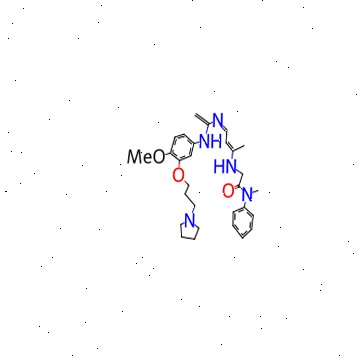 C=C(/N=C\C=C(/C)NCC(=O)N(C)c1ccccc1)Nc1ccc(OC)c(OCCCN2CCCC2)c1